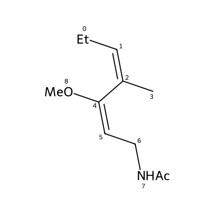 CC/C=C(C)\C(=C/CNC(C)=O)OC